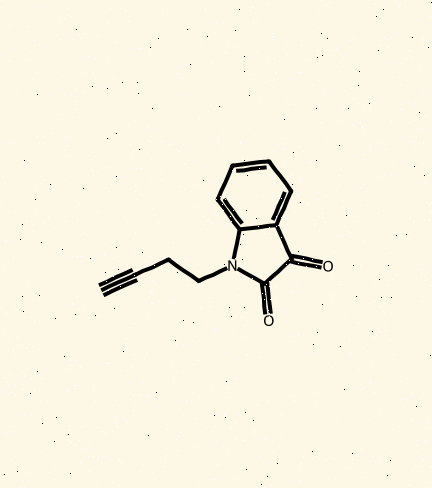 C#CCCN1C(=O)C(=O)c2ccccc21